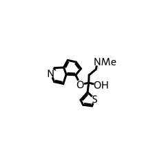 CNCCC(O)(Oc1cccc2cnccc12)c1cccs1